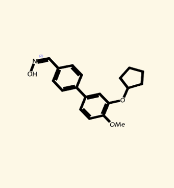 COc1ccc(-c2ccc(/C=N\O)cc2)cc1OC1CCCC1